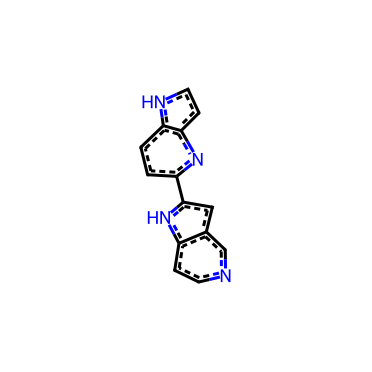 c1cc2[nH]c(-c3ccc4[nH]ccc4n3)cc2cn1